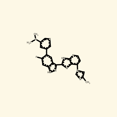 Cc1cn(-c2ccnc3[nH]c(-c4n[nH]c5cc(F)c(-c6cncc(N(C)C)c6)cc45)nc23)cn1